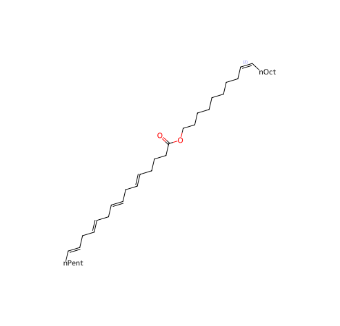 CCCCCC=CCC=CCC=CCC=CCCCC(=O)OCCCCCCCC/C=C\CCCCCCCC